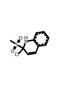 CS(=O)(=O)C1(Cl)C=Cc2ccccc2N1